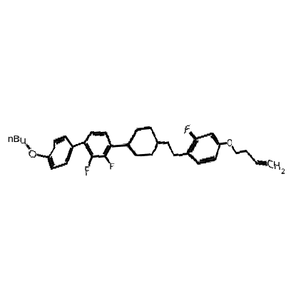 C=CCCOc1ccc(CCC2CCC(c3ccc(-c4ccc(OCCCC)cc4)c(F)c3F)CC2)c(F)c1